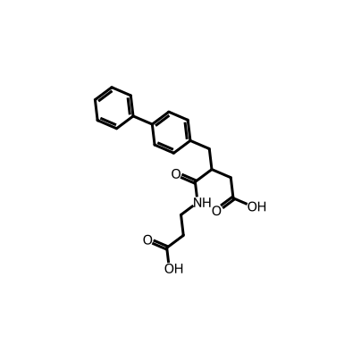 O=C(O)CCNC(=O)C(CC(=O)O)Cc1ccc(-c2ccccc2)cc1